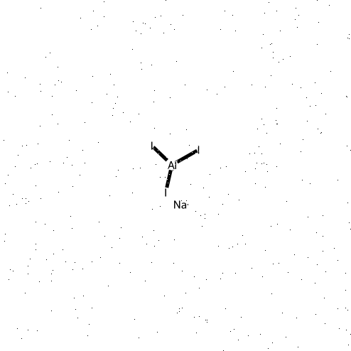 [I][Al]([I])[I].[Na]